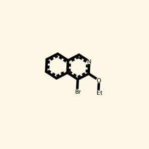 CCOc1ncc2ccccc2c1Br